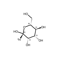 [2H][C@@]1(O)O[C@H](CO)[C@@H](O)[C@H](O)[C@@H]1O